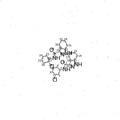 O=C(Nc1cccc(Cl)c1)c1n[nH]c2ccccc12.O=C(Nc1ccccc1Cl)c1n[nH]c2ccccc12